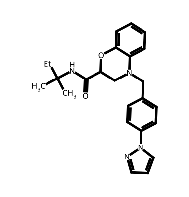 CCC(C)(C)NC(=O)C1CN(Cc2ccc(-n3cccn3)cc2)c2ccccc2O1